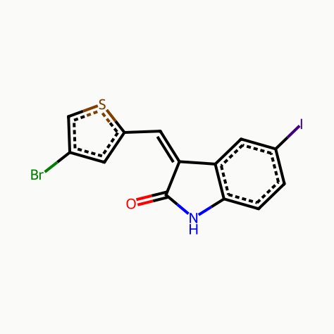 O=C1Nc2ccc(I)cc2C1=Cc1cc(Br)cs1